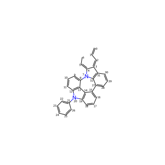 C=C/C=c1\c(=C/C)n2c3cccc4c3c3c(cccc3n4-c3ccccc3)c3cccc1c32